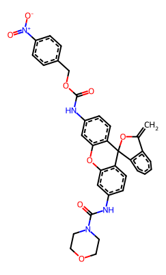 C=C1OC2(c3ccc(NC(=O)OCc4ccc([N+](=O)[O-])cc4)cc3Oc3cc(NC(=O)N4CCOCC4)ccc32)c2ccccc21